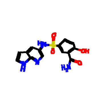 NC(=O)c1cc(S(=O)(=O)Nc2cnc3[nH]ccc3c2)ccc1O